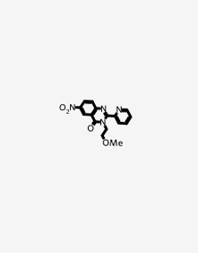 COCCn1c(-c2ccccn2)nc2ccc([N+](=O)[O-])cc2c1=O